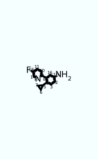 Nc1ccc(C2CC2)c(-c2ccc(F)cn2)c1